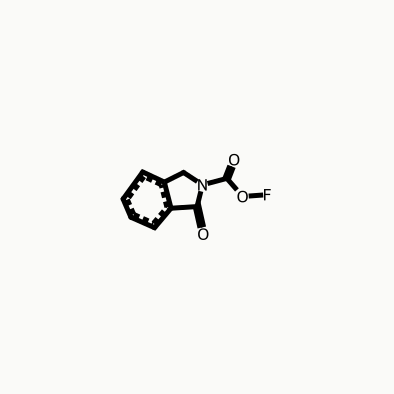 O=C(OF)N1Cc2ccccc2C1=O